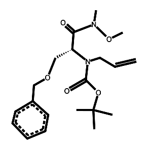 C=CCN(C(=O)OC(C)(C)C)[C@H](COCc1ccccc1)C(=O)N(C)OC